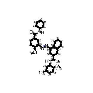 COc1ccc(C(=O)Nc2ccccc2)cc1/N=N/c1cc(C(=O)Nc2cc(Cl)ccc2OC)cc2ccccc12